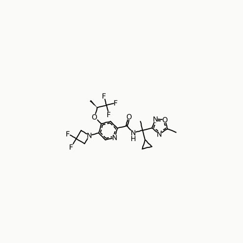 Cc1nc(C(C)(NC(=O)c2cc(O[C@@H](C)C(F)(F)F)c(N3CC(F)(F)C3)cn2)C2CC2)no1